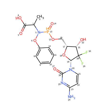 CC(C(=O)O)N(Oc1ccccc1)[PH](=O)OC[C@H]1O[C@@H](n2ccc(N)nc2=O)C(F)(F)[C@H]1O